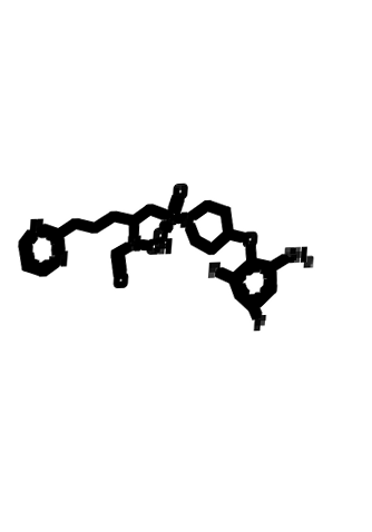 Bc1cc(F)cc(F)c1OC1CCN(S(=O)(=O)CC(CCCc2ncccn2)N(O)C=O)CC1